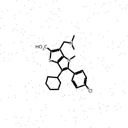 CN(C)Cc1c(C(=O)O)sc2c(C3CCCCC3)c(-c3ccc(Cl)cc3)n(C)c12